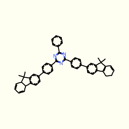 CC1(C)C2=C(CCC=C2)c2ccc(-c3ccc(-c4nc(-c5ccccc5)nc(-c5ccc(-c6ccc7c(c6)C(C)(C)C6C=CC=CC76)cc5)n4)cc3)cc21